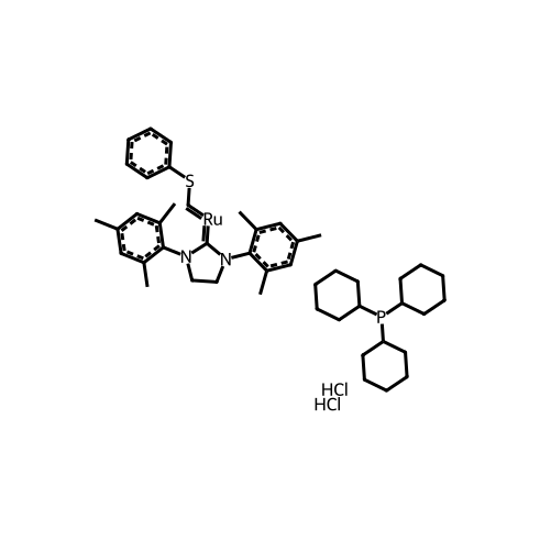 C1CCC(P(C2CCCCC2)C2CCCCC2)CC1.Cc1cc(C)c(N2CCN(c3c(C)cc(C)cc3C)[C]2=[Ru]=[CH]Sc2ccccc2)c(C)c1.Cl.Cl